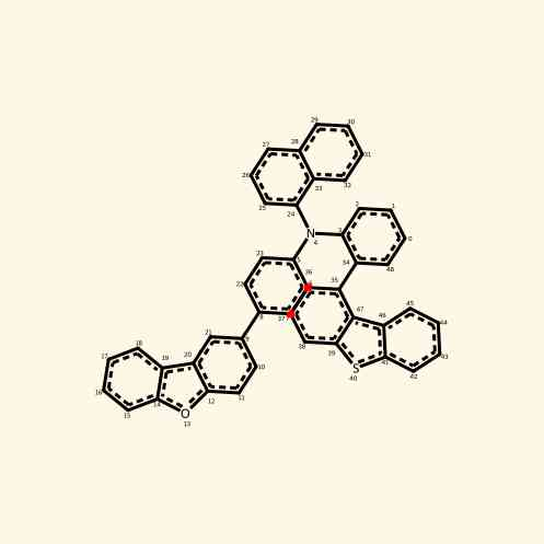 c1ccc(N(c2ccc(-c3ccc4oc5ccccc5c4c3)cc2)c2cccc3ccccc23)c(-c2cccc3sc4ccccc4c23)c1